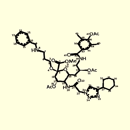 COC(=O)[C@@]1(OCCCNCc2ccccc2)C[C@@H](OC(C)=O)C(NC(=O)Cn2cc(C3CCCCC3)nn2)C(C[C@@H](CNC(=O)c2cc(C)c(OC(C)=O)c(C)c2)OC(C)=O)O1